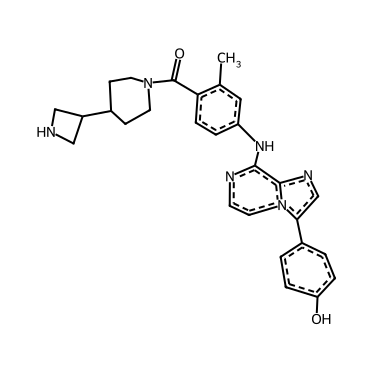 Cc1cc(Nc2nccn3c(-c4ccc(O)cc4)cnc23)ccc1C(=O)N1CCC(C2CNC2)CC1